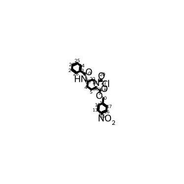 O=C(N[C@H]1CC[C@H](C(=O)OCc2ccc([N+](=O)[O-])cc2)N(C(=O)Cl)C1)c1ccccc1